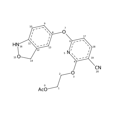 CC(=O)OCCOc1nc(Oc2ccc3c(c2)CON3)ccc1C#N